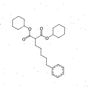 O=C(OC1CCCCC1)C(CCCCCc1ccccc1)C(=O)OC1CCCCC1